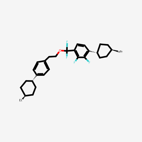 CCC[C@H]1CC[C@H](c2ccc(C(F)(F)OCCc3ccc([C@H]4CC[C@H](CC)CC4)cc3)c(F)c2F)CC1